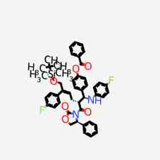 CC(C)(C)[Si](C)(C)OC/C(=C/C[C@@H](C(=O)N1C(=O)OC[C@@H]1c1ccccc1)[C@H](Nc1ccc(F)cc1)c1ccc(OC(=O)c2ccccc2)cc1)c1ccc(F)cc1